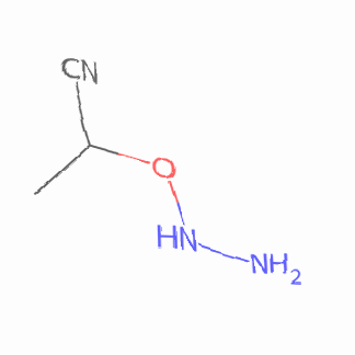 CC(C#N)ONN